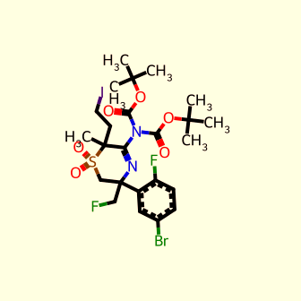 CC(C)(C)OC(=O)N(C(=O)OC(C)(C)C)C1=NC(CF)(c2cc(Br)ccc2F)CS(=O)(=O)C1(C)CCI